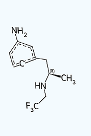 C[C@H](Cc1cccc(N)c1)NCC(F)(F)F